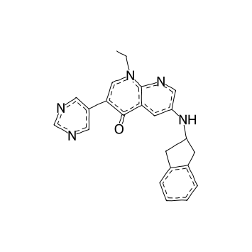 CCn1cc(-c2cncnc2)c(=O)c2cc(NC3Cc4ccccc4C3)cnc21